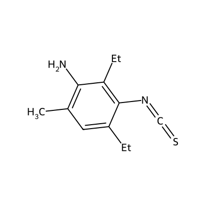 CCc1cc(C)c(N)c(CC)c1N=C=S